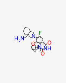 COc1c(N2CC3CCCCC3(CN)C2)c(F)cc2c(=O)[nH]c(=O)n(C3CC3)c12